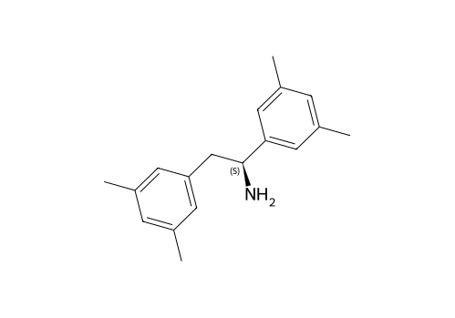 Cc1cc(C)cc(C[C@H](N)c2cc(C)cc(C)c2)c1